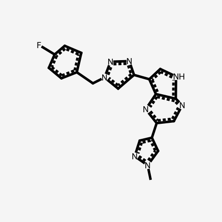 Cn1cc(-c2cnc3[nH]cc(-c4cn(Cc5ccc(F)cc5)nn4)c3n2)cn1